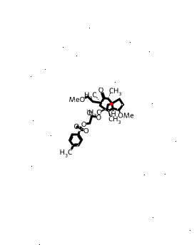 COCC[C@]1(C)C[C@@H](OC(=O)COS(=O)(=O)c2ccc(C)cc2)[C@]2(C)[C@H](C)CC[C@]3(CC[C@@H](OC)[C@@H]32)[C@@H](C)C1=O